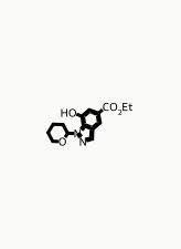 CCOC(=O)c1cc(O)c2c(cnn2C2CCCCO2)c1